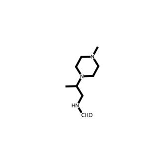 CC(CNC=O)N1CCN(C)CC1